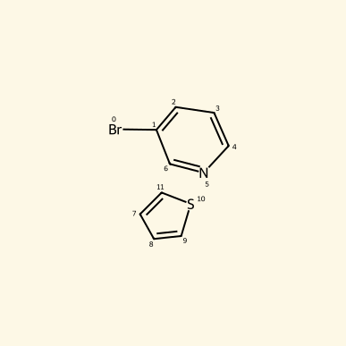 Brc1cccnc1.c1ccsc1